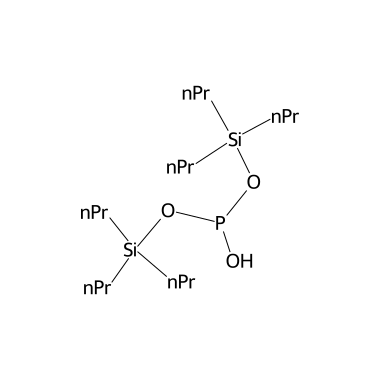 CCC[Si](CCC)(CCC)OP(O)O[Si](CCC)(CCC)CCC